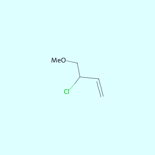 [CH2]OCC(Cl)C=C